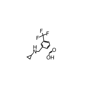 FC(F)(F)c1cccc(CNC2CC2)c1.O=CO